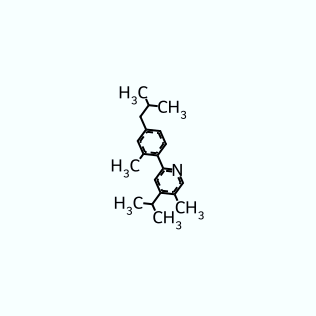 Cc1cc(CC(C)C)ccc1-c1cc(C(C)C)c(C)cn1